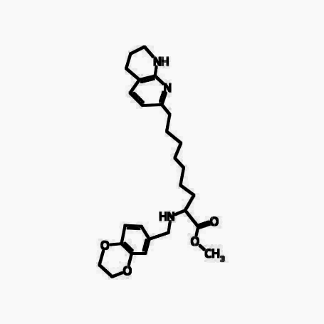 COC(=O)C(CCCCCCCc1ccc2c(n1)NCCC2)NCc1ccc2c(c1)OCCO2